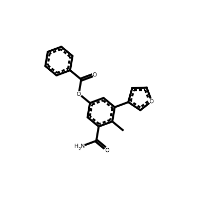 Cc1c(C(N)=O)cc(OC(=O)c2ccccc2)cc1-c1ccoc1